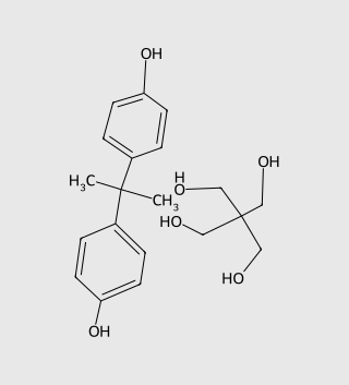 CC(C)(c1ccc(O)cc1)c1ccc(O)cc1.OCC(CO)(CO)CO